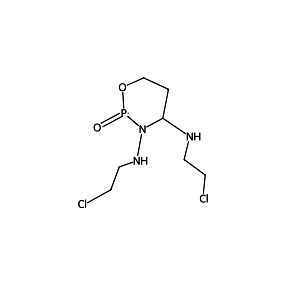 O=[P]1OCCC(NCCCl)N1NCCCl